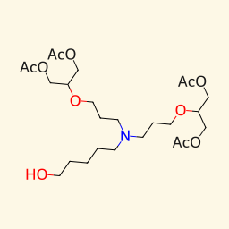 CC(=O)OCC(COC(C)=O)OCCCN(CCCCCO)CCCOC(COC(C)=O)COC(C)=O